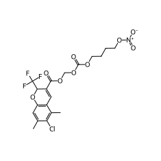 Cc1cc2c(c(C)c1Cl)C=C(C(=O)OCOC(=O)OCCCCO[N+](=O)[O-])C(C(F)(F)F)O2